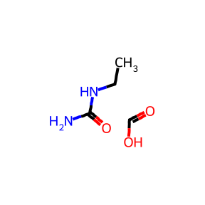 CCNC(N)=O.O=CO